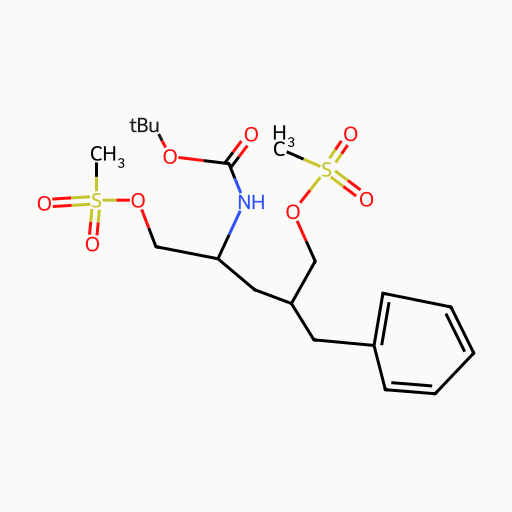 CC(C)(C)OC(=O)NC(COS(C)(=O)=O)CC(COS(C)(=O)=O)Cc1ccccc1